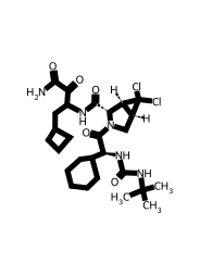 CC(C)(C)NC(=O)N[C@H](C(=O)N1C[C@H]2[C@@H]([C@H]1C(=O)NC(CC1CCC1)C(=O)C(N)=O)C2(Cl)Cl)C1CCCCC1